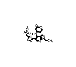 CCn1ncc2c(NC3CCOC(=O)C3)c(-c3nnc(CS(C)(=O)=O)o3)cnc21